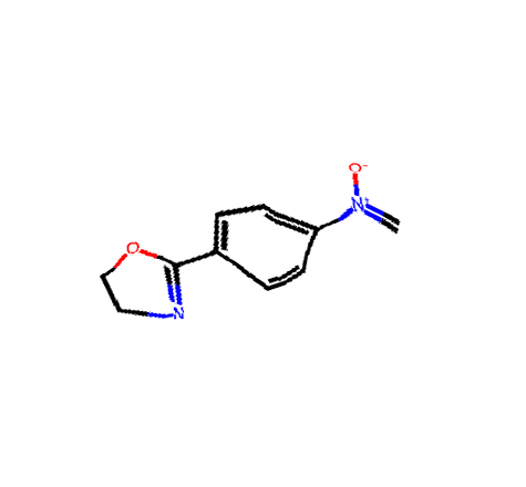 C=[N+]([O-])c1ccc(C2=NCCO2)cc1